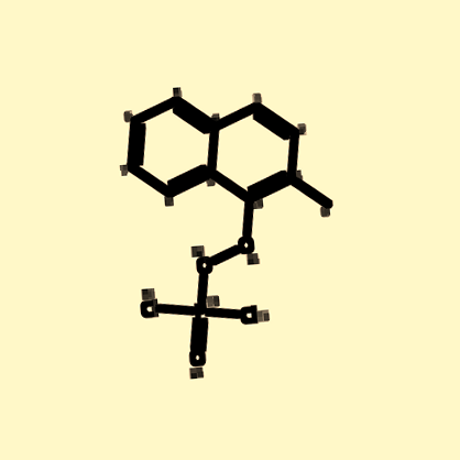 Cc1ccc2ccccc2c1OOP(=O)(Cl)Cl